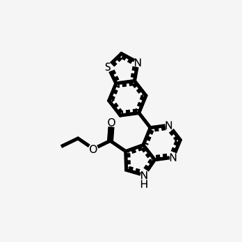 CCOC(=O)c1c[nH]c2ncnc(-c3ccc4scnc4c3)c12